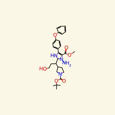 COC(=O)C1=C(c2ccc(Oc3ccccc3)cc2)NC(C(CCO)C2CCN(C(=O)OC(C)(C)C)C2)N1N